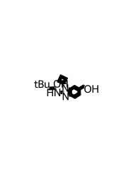 CC(C)(C)CC(O)Nc1nc2ccc(CO)cc2n1C1CCC1